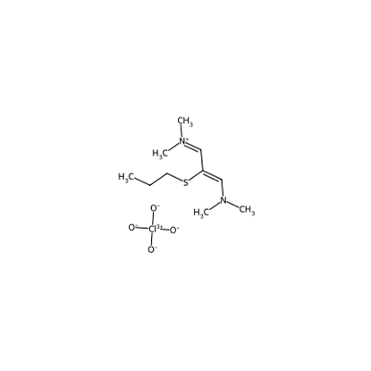 CCCS/C(C=[N+](C)C)=C\N(C)C.[O-][Cl+3]([O-])([O-])[O-]